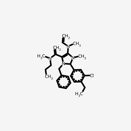 C=CN(C)C1=C(C(=C)N(C)CCC)N(Cc2ccccc2)C(c2ccc(CC)c(Cl)c2)N1C